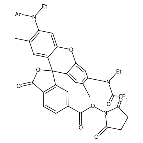 CCN(C(C)=O)c1cc2c(cc1C)C1(OC(=O)c3ccc(C(=O)ON4C(=O)CCC4=O)cc31)c1cc(C)c(N(CC)C(=O)C(F)(F)F)cc1O2